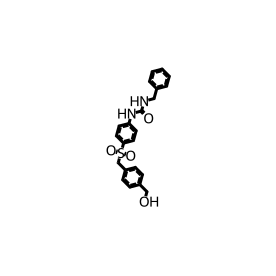 O=C(NCc1ccccc1)Nc1ccc(S(=O)(=O)Cc2ccc(CO)cc2)cc1